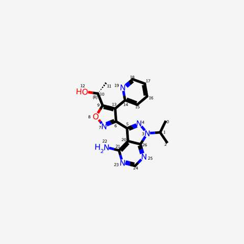 CC(C)n1nc(-c2noc([C@@H](C)O)c2-c2ccccn2)c2c(N)ncnc21